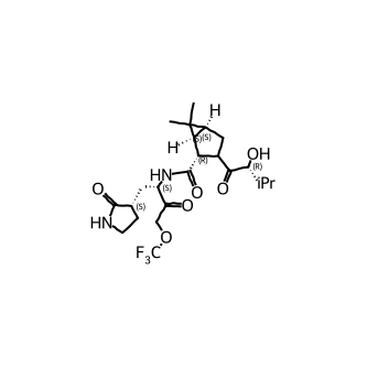 CC(C)[C@@H](O)C(=O)C1C[C@H]2[C@@H]([C@H]1C(=O)N[C@@H](C[C@@H]1CCNC1=O)C(=O)COC(F)(F)F)C2(C)C